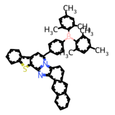 Cc1cc(C)c(B(c2ccc(-c3cc4c5ccccc5sc4c4nc5c6cc7ccccc7cc6ccc5n34)cc2)c2c(C)cc(C)cc2C)c(C)c1